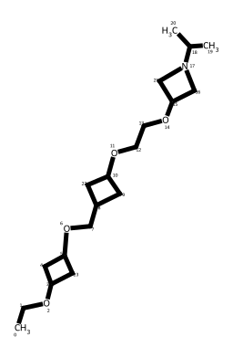 CCOC1CC(OCC2CC(OCCOC3CN(C(C)C)C3)C2)C1